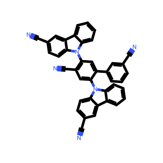 N#Cc1cccc(-c2cc(-n3c4ccccc4c4cc(C#N)ccc43)c(C#N)cc2-n2c3ccccc3c3cc(C#N)ccc32)c1